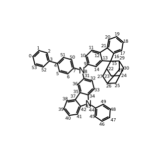 c1ccc(-c2ccc(N(c3ccc4c(c3)C3(c5ccccc5-4)C4CC5CC(C4)CC3C5)c3ccc4c(c3)c3ccccc3n4-c3ccccc3)cc2)cc1